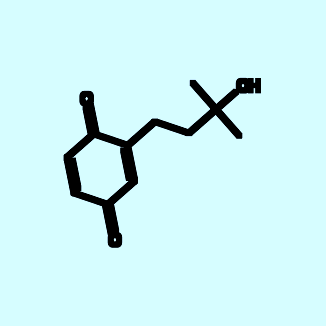 CC(C)(O)CCC1=CC(=O)C=CC1=O